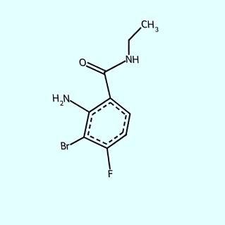 CCNC(=O)c1ccc(F)c(Br)c1N